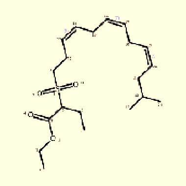 CCOC(=O)C(CC)S(=O)(=O)CC/C=C\C/C=C\C/C=C\CC(C)C